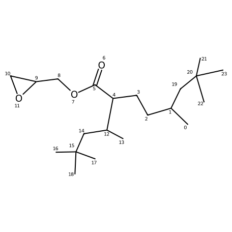 CC(CCC(C(=O)OCC1CO1)C(C)CC(C)(C)C)CC(C)(C)C